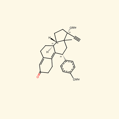 C#C[C@]1(OC)CC[C@H]2[C@@H]3CCC4=CC(=O)CCC4=C3[C@@H](c3ccc(OC)cc3)CC21C